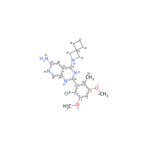 COc1cc(OC)c(Cl)c(-c2nc(N3CC4(CCC4)C3)c3cc(N)ncc3n2)c1C